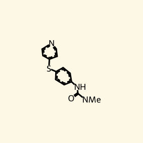 CNC(=O)Nc1ccc(Sc2ccncc2)cc1